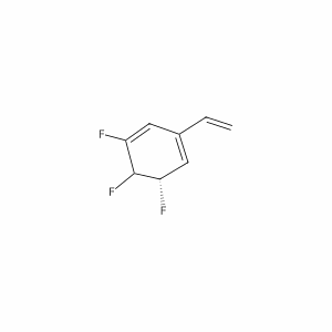 C=CC1=C[C@H](F)C(F)C(F)=C1